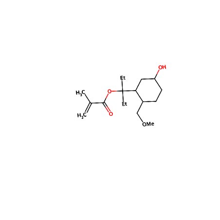 C=C(C)C(=O)OC(CC)(CC)C1CC(O)CCC1COC